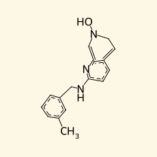 Cc1cccc(CNc2ccc3c(n2)=CN(O)CC=3)c1